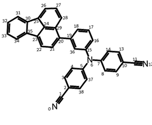 N#Cc1ccc(N(c2ccc(C#N)cc2)c2cccc(-c3ccc4c5c(cccc35)-c3ccccc3-4)c2)cc1